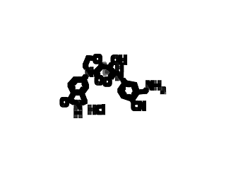 Cl.N#Cc1ccc(NC(=O)[C@H](O)[C@H]2OCCN(c3ccc4c(c3)CNC4=O)C2=O)cc1CN